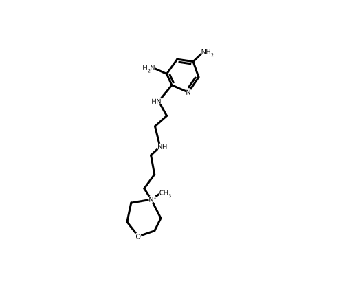 C[N+]1(CCCNCCNc2ncc(N)cc2N)CCOCC1